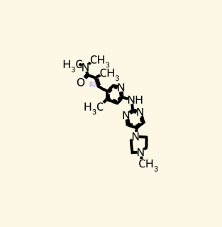 C/C(=C\c1cnc(Nc2ncc(N3CCN(C)CC3)cn2)cc1C)C(=O)N(C)C